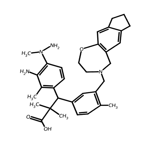 Cc1ccc(C(c2ccc(N(C)N)c(N)c2C)C(C)(C)C(=O)O)cc1CN1CCOc2cc3c(cc2C1)CCC3